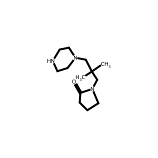 CC(C)(CN1CCNCC1)CN1CCCC1=O